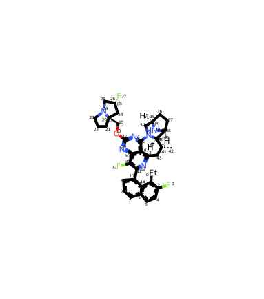 CCc1c(F)ccc2cccc(-c3nc4c5c(nc(OC[C@@]67CCCN6C[C@H](F)C7)nc5c3F)N3C[C@H]5CC[C@H](N5)[C@H]3[C@H](C)C4)c12